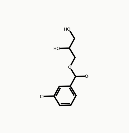 [O]C(OCC(O)CO)c1cccc(Cl)c1